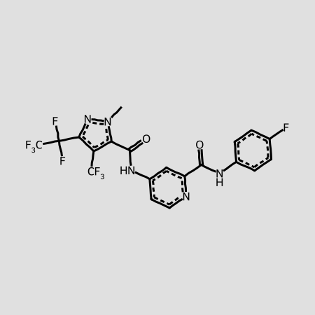 Cn1nc(C(F)(F)C(F)(F)F)c(C(F)(F)F)c1C(=O)Nc1ccnc(C(=O)Nc2ccc(F)cc2)c1